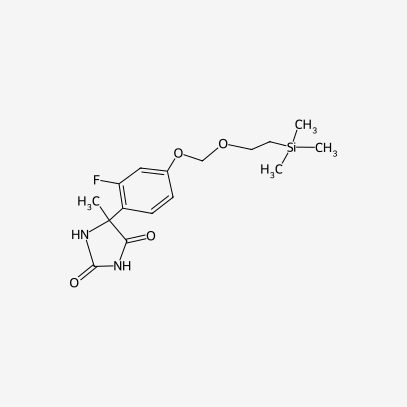 CC1(c2ccc(OCOCC[Si](C)(C)C)cc2F)NC(=O)NC1=O